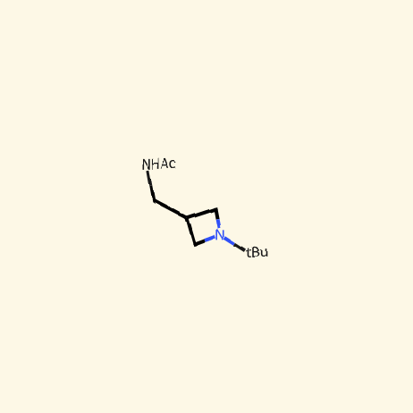 CC(=O)NCC1CN(C(C)(C)C)C1